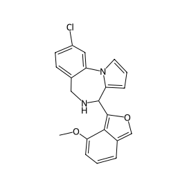 COc1cccc2coc(C3NCc4ccc(Cl)cc4-n4cccc43)c12